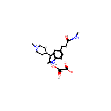 CNC(=O)CCc1ccc2[nH]cc(C3CCN(C)CC3)c2c1.O=C(O)C(=O)O